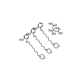 O=C(O)CC(O)(CC(=O)O)C(=O)O.Oc1ccccc1OCCCCCCCCN1CCOCC1.Oc1ccccc1OCCCCCCCCN1CCOCC1.Oc1ccccc1OCCCCCCCCN1CCOCC1